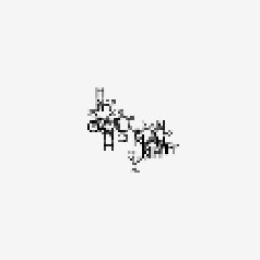 CC(C)n1cnc2cc(-c3ccc4c(c3)NC(=O)C43CCNCC3)nc(NC3CC3)c21